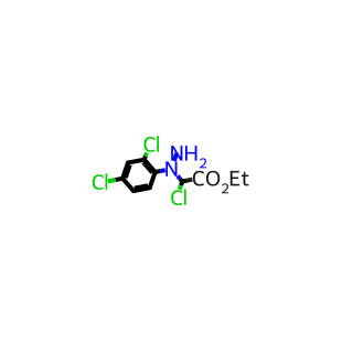 CCOC(=O)C(Cl)N(N)c1ccc(Cl)cc1Cl